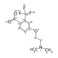 CN(C)CCOc1ccc(C(=O)Cl)c(C(F)(F)F)c1